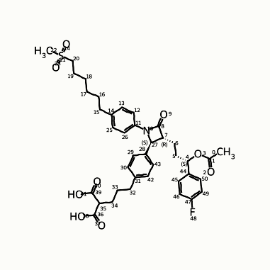 CC(=O)O[C@@H](CC[C@H]1C(=O)N(c2ccc(CCCCCCS(C)(=O)=O)cc2)[C@@H]1c1ccc(CCCC(C(=O)O)C(=O)O)cc1)c1ccc(F)cc1